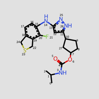 CC(C)NC(=O)OC1CCC(c2cc(Nc3ccc4c(c3F)CSC4)n[nH]2)C1